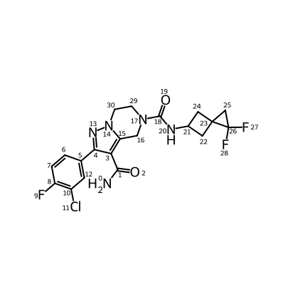 NC(=O)c1c(-c2ccc(F)c(Cl)c2)nn2c1CN(C(=O)NC1CC3(C1)CC3(F)F)CC2